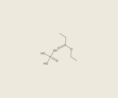 CCOC(=O)CC.O=P(O)(O)O